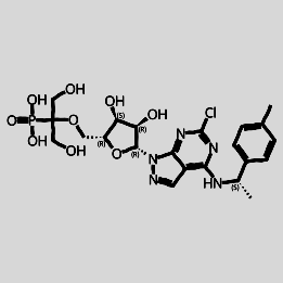 Cc1ccc([C@H](C)Nc2nc(Cl)nc3c2cnn3[C@@H]2O[C@H](COC(CO)(CO)P(=O)(O)O)[C@@H](O)[C@H]2O)cc1